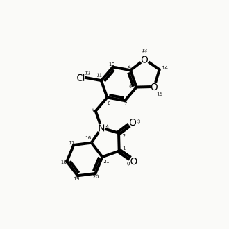 O=C1C(=O)N(Cc2cc3c(cc2Cl)OCO3)C2CC=CC=C12